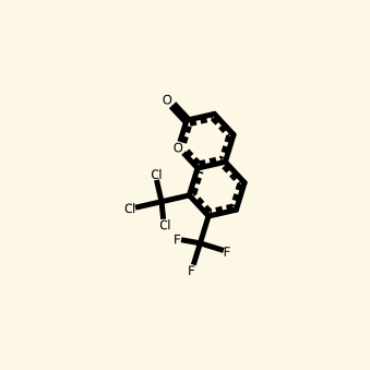 O=c1ccc2ccc(C(F)(F)F)c(C(Cl)(Cl)Cl)c2o1